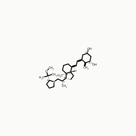 C=C1/C(=C\C=C2/CCC[C@]3(C)[C@@H]([C@H](C)CN4CCC[C@@H]4C(C)(C)OC)CC[C@@H]23)C[C@@H](O)C[C@@H]1O